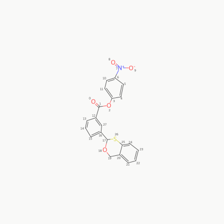 O=C(Oc1ccc([N+](=O)[O-])cc1)c1cccc(C2OCc3ccccc3S2)c1